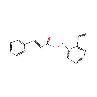 C=Cc1ccccc1COC(=O)/C=C/c1ccccc1